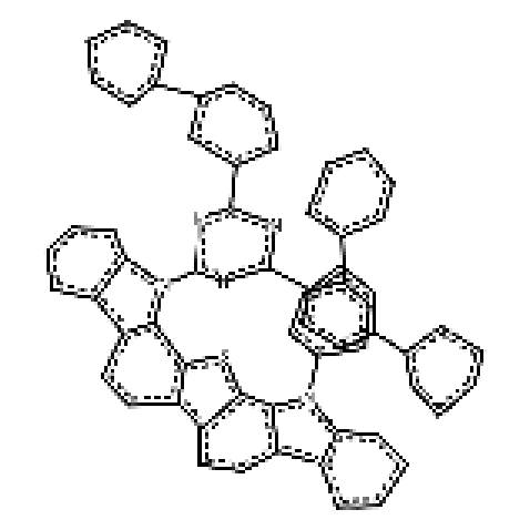 c1ccc(-c2ccc(-c3nc(-c4cccc(-c5ccccc5)c4)nc(-n4c5ccccc5c5ccc6c7ccc8c9ccccc9n(-c9ccc(-c%10ccccc%10)cc9)c8c7sc6c54)n3)cc2)cc1